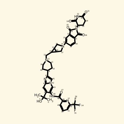 CC(C)(O)c1cc2nc(C3CCN(CC4C5CN(c6ccc7c(c6)C(=O)N(C6CCC(=O)NC6=O)C7=O)CC45)CC3)cn2cc1NC(=O)c1cccc(C(F)(F)F)n1